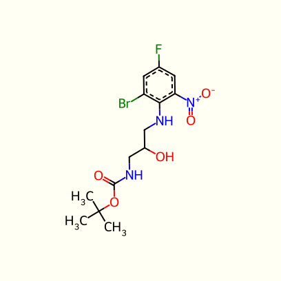 CC(C)(C)OC(=O)NCC(O)CNc1c(Br)cc(F)cc1[N+](=O)[O-]